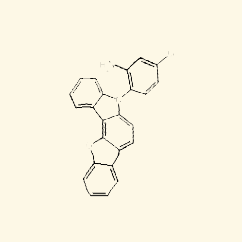 Nc1cc(Br)ccc1-n1c2ccccc2c2c3oc4ccccc4c3ccc21